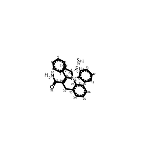 CC[C@@H](c1ccccc1)[N+]1(c2ccccc2)C(CBr)=C(C(N)=O)Cc2ccccc21.[Sn]